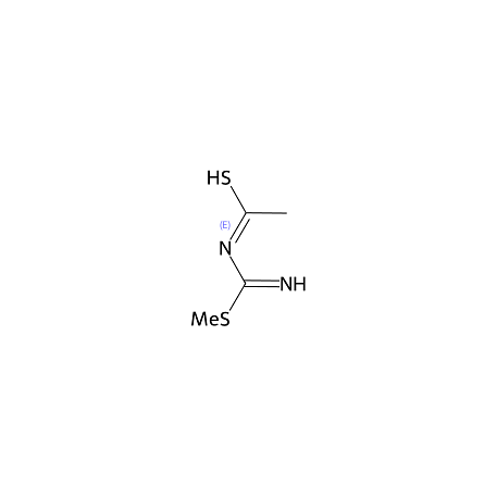 CSC(=N)/N=C(\C)S